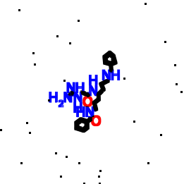 N=C(N)NCC(=O)NC(CCCNCc1ccccc1)CCCNC(=O)c1ccccc1